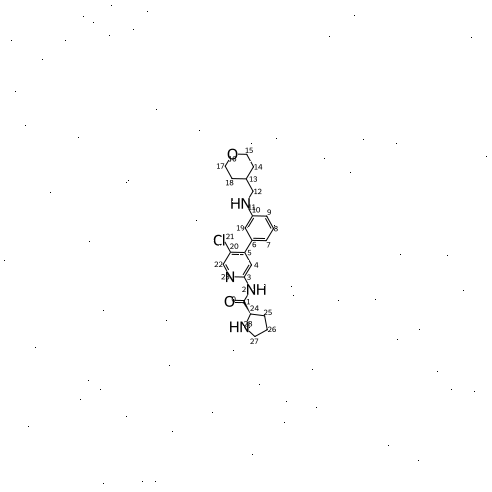 O=C(Nc1cc(-c2cccc(NCC3CCOCC3)c2)c(Cl)cn1)[C@H]1CCCN1